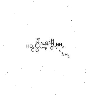 NCCCCC(N)C(=O)NC1CCN(c2nc3c(cc2F)c(=O)c(C(=O)O)cn3C2CC2)C1